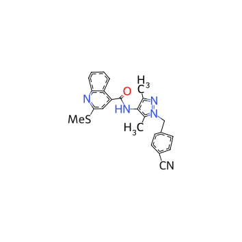 CSc1cc(C(=O)Nc2c(C)nn(Cc3ccc(C#N)cc3)c2C)c2ccccc2n1